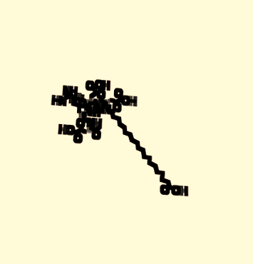 CC(=O)[C@H](CCC(=O)O)NC(=O)[C@H](CCCNC(=N)N)NC(=O)[C@H](CCC(=O)O)NC(=O)[C@H](CCC(=O)O)NC(=O)CCCCCCCCCCCCCCCCCCC(=O)O